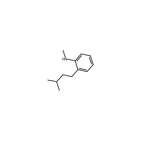 CNc1ccccc1CCC(C)C